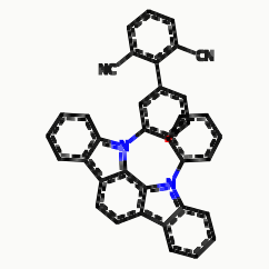 N#Cc1cccc(C#N)c1-c1cccc(-n2c3ccccc3c3ccc4c5ccccc5n(-c5ccccc5)c4c32)c1